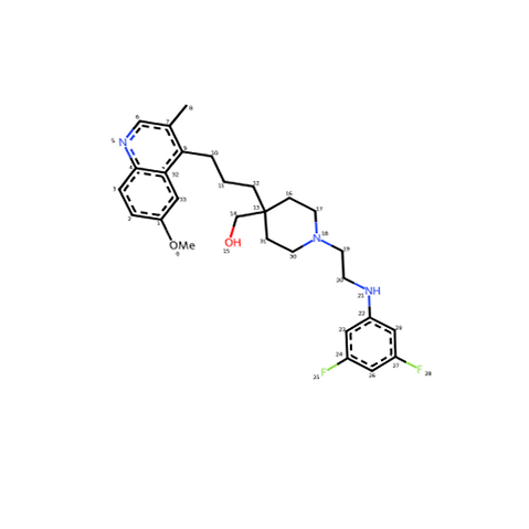 COc1ccc2ncc(C)c(CCCC3(CO)CCN(CCNc4cc(F)cc(F)c4)CC3)c2c1